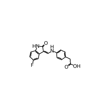 O=C(O)Cc1ccc(N/C=C2\C(=O)Nc3ccc(F)cc32)cc1